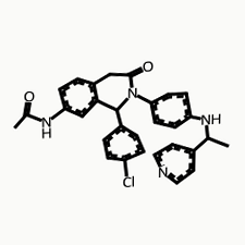 CC(=O)Nc1ccc2c(c1)C(c1ccc(Cl)cc1)N(c1ccc(NC(C)c3ccncc3)cc1)C(=O)C2